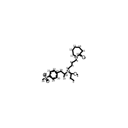 CCC(CC)N(CCCCN1CCCCCC1=O)C(C)Cc1ccc(S(C)(=O)=O)cc1